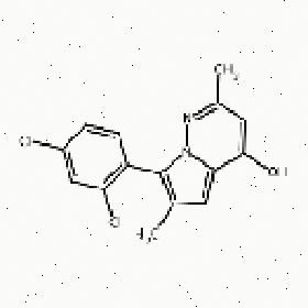 Cc1cc(O)c2cc(C)c(-c3ccc(Cl)cc3Cl)n2n1